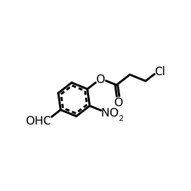 O=Cc1ccc(OC(=O)CCCl)c([N+](=O)[O-])c1